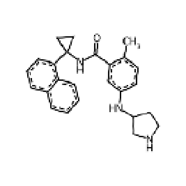 Cc1ccc(NC2CCNC2)cc1C(=O)NC1(c2cccc3ccccc23)CC1